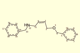 C(=C/COCc1ccccc1)/CNCc1ccccc1